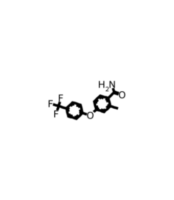 Cc1cc(Oc2ccc(C(F)(F)F)cc2)ccc1C(N)=O